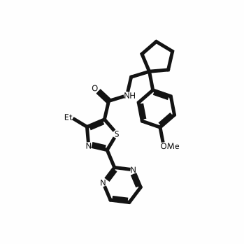 CCc1nc(-c2ncccn2)sc1C(=O)NCC1(c2ccc(OC)cc2)CCCC1